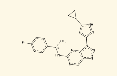 C[C@H](Nc1ncc2nnn(-c3cc(C4CC4)[nH]n3)c2n1)c1ccc(F)cc1